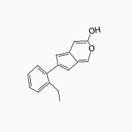 CCc1ccccc1-c1cc2coc(O)cc-2c1